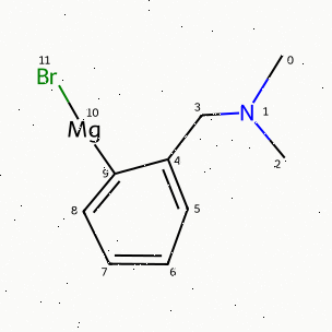 CN(C)Cc1cccc[c]1[Mg][Br]